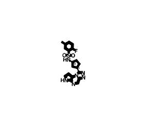 Cc1ccc(F)c(S(=O)(=O)N[C@H]2CC[C@@H](c3nnc4cnc5[nH]ccc5n34)C2)c1